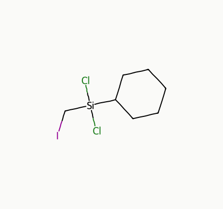 Cl[Si](Cl)(CI)C1CCCCC1